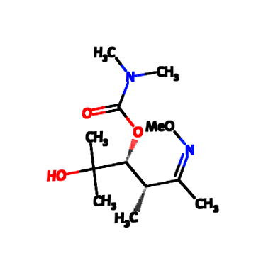 CON=C(C)[C@H](C)[C@@H](OC(=O)N(C)C)C(C)(C)O